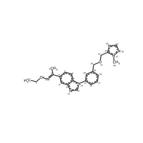 CCON=C(C)c1ccc2c(c1)ncn2-c1cccc(COCc2ncnn2C)c1